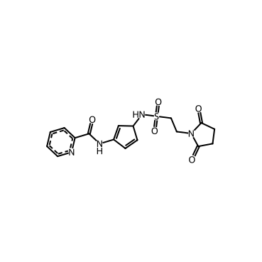 O=C(NC1=CC(NS(=O)(=O)CCN2C(=O)CCC2=O)C=C1)c1ccccn1